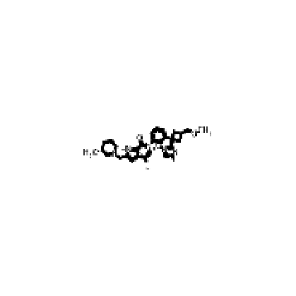 COCC1CC(c2cccc(-n3cc(Cl)c4cc(CN5CCC[C@H](C)C5)[nH]c4c3=O)c2)(c2nncn2C)C1